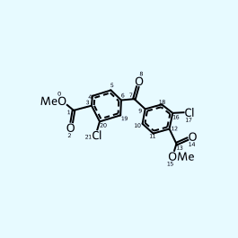 COC(=O)c1ccc(C(=O)c2ccc(C(=O)OC)c(Cl)c2)cc1Cl